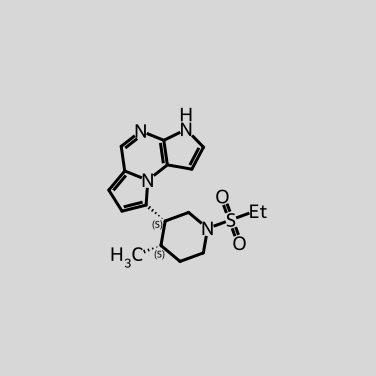 CCS(=O)(=O)N1CC[C@H](C)[C@H](c2ccc3cnc4[nH]ccc4n23)C1